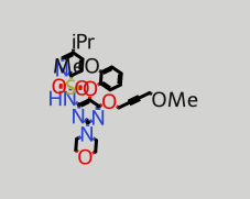 COCC#CCOc1nc(N2CCOCC2)nc(NS(=O)(=O)c2ccc(C(C)C)cn2)c1Oc1ccccc1OC